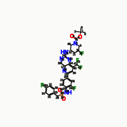 CC(C)(C)OC(=O)N1C[C@@H](F)C[C@H](Nc2ncc3nc(-c4ccc(NS(=O)(=O)Cc5ccc(F)cc5)c(F)c4)cc(C(F)F)c3n2)C1